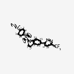 N#Cc1ccc(S(=O)(=O)N2CCc3cc(-c4ccc(C(F)(F)F)nn4)ccc32)cc1